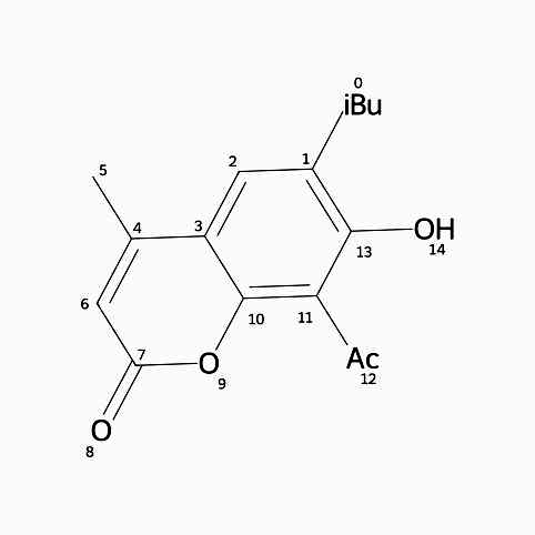 CCC(C)c1cc2c(C)cc(=O)oc2c(C(C)=O)c1O